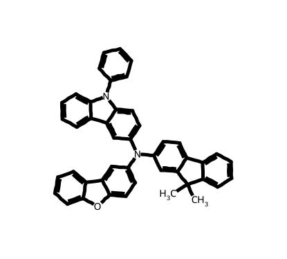 CC1(C)c2ccccc2-c2ccc(N(c3ccc4oc5ccccc5c4c3)c3ccc4c(c3)c3ccccc3n4-c3ccccc3)cc21